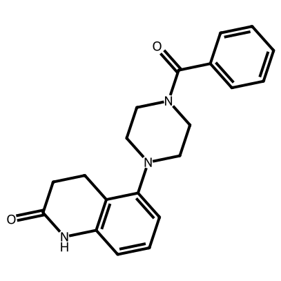 O=C1CCc2c(cccc2N2CCN(C(=O)c3ccccc3)CC2)N1